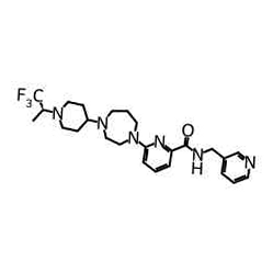 C[C@H](N1CCC(N2CCCN(c3cccc(C(=O)NCc4cccnc4)n3)CC2)CC1)C(F)(F)F